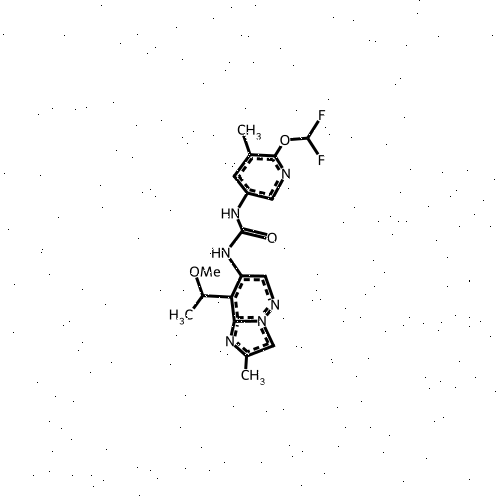 COC(C)c1c(NC(=O)Nc2cnc(OC(F)F)c(C)c2)cnn2cc(C)nc12